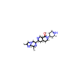 Cc1cn2cc(-c3cc4ccn(C5CCNCC5)c(=O)c4cn3)nc(C)c2n1